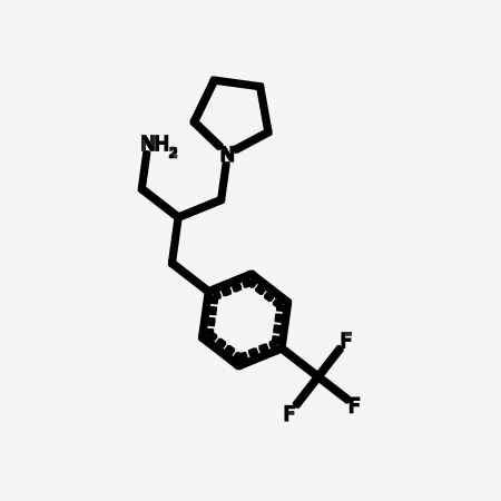 NCC(Cc1ccc(C(F)(F)F)cc1)CN1CCCC1